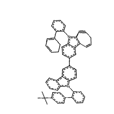 CC(C)(C)c1ccc(-c2ccccc2-n2c3ccccc3c3cc(-c4ccc5c(c4)c4c(n5-c5ccccc5C5=CC=CCC5)C#CCC=C4)ccc32)cc1